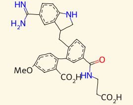 COc1ccc(-c2cc(C(=O)NCCC(=O)O)ccc2CC2CNc3ccc(C(=N)N)cc32)c(C(=O)O)c1